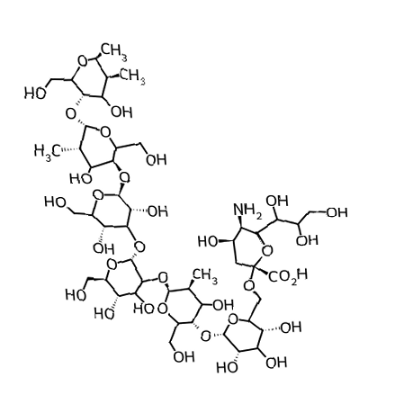 C[C@@H]1OC(CO)[C@@H](O[C@@H]2OC(CO)[C@@H](O[C@@H]3OC(CO)[C@@H](O)C(O[C@H]4O[C@H](CO)[C@@H](O)C(O)C4O[C@@H]4OC(CO)[C@@H](O[C@@H]5OC(CO[C@]6(C(=O)O)C[C@@H](O)[C@@H](N)C(C(O)C(O)CO)O6)[C@H](O)C(O)[C@@H]5O)C(O)[C@@H]4C)[C@H]3O)C(O)[C@@H]2C)C(O)[C@@H]1C